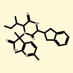 CCC(C)C1C(=O)NC(C2Cc3ccccc3C2)C(=O)N1C(C)(C(N)=O)c1ccc(C)nc1C